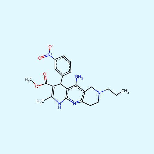 CCCN1CCc2nc3c(c(N)c2C1)C(c1cccc([N+](=O)[O-])c1)C(C(=O)OC)=C(C)N3